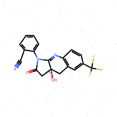 N#Cc1ccccc1N1C(=O)C[C@@]2(O)Cc3cc(C(F)(F)F)ccc3N=C12